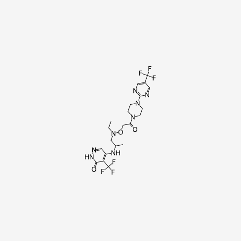 CCN(CC(C)Nc1cn[nH]c(=O)c1C(F)(F)F)OCC(=O)N1CCN(c2ncc(C(F)(F)F)cn2)CC1